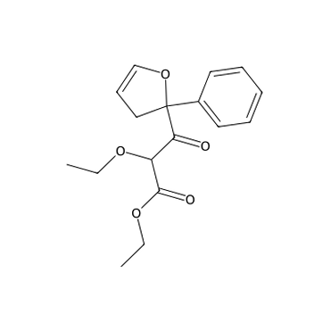 CCOC(=O)C(OCC)C(=O)C1(c2ccccc2)CC=CO1